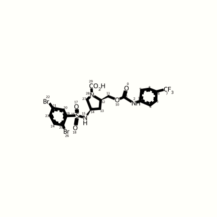 O=C(Nc1ccc(C(F)(F)F)cc1)OC[C@H]1C[C@@H](NS(=O)(=O)c2cc(Br)ccc2Br)CN1C(=O)O